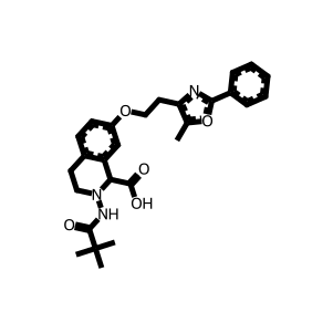 Cc1oc(-c2ccccc2)nc1CCOc1ccc2c(c1)C(C(=O)O)N(NC(=O)C(C)(C)C)CC2